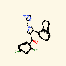 O=C(c1ccc(Cl)cc1Cl)c1cn(Cc2c[nH]cn2)cc1-c1cccc2ccccc12